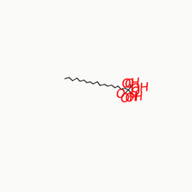 CCCCCCCCCCCCCCCCCC(O)C(C(=O)O)(C(=O)O)C(=O)O